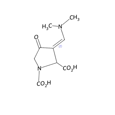 CN(C)/C=C1\C(=O)CN(C(=O)O)C1C(=O)O